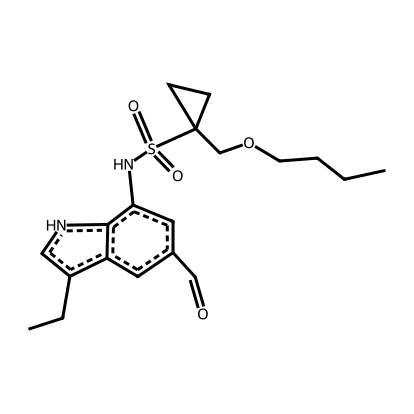 CCCCOCC1(S(=O)(=O)Nc2cc(C=O)cc3c(CC)c[nH]c23)CC1